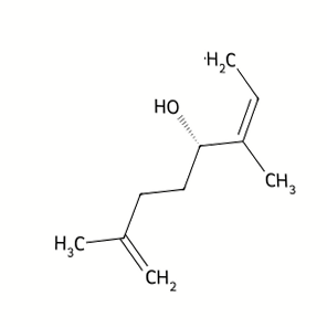 [CH2]C=C(C)[C@@H](O)CCC(=C)C